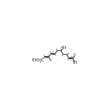 CCOC(=O)/C=C(C)/C=C/CC(CC)CC/C=C(\C)CC